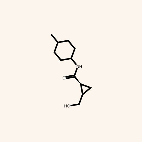 CC1CCC(NC(=O)[C@H]2CC2CO)CC1